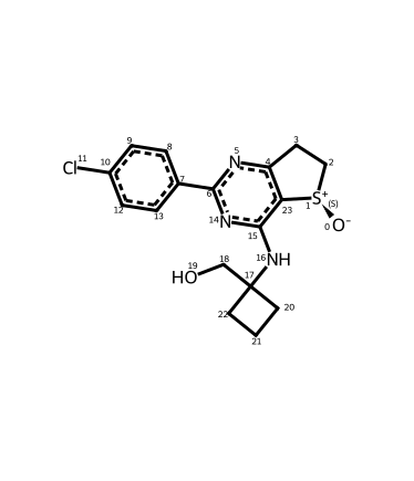 [O-][S@+]1CCc2nc(-c3ccc(Cl)cc3)nc(NC3(CO)CCC3)c21